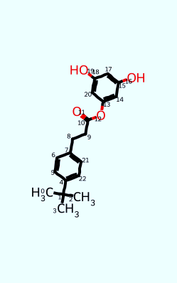 CC(C)(C)c1ccc(CCC(=O)Oc2cc(O)cc(O)c2)cc1